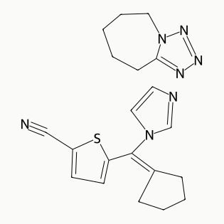 C1CCc2nnnn2CC1.N#Cc1ccc(C(=C2CCCC2)n2ccnc2)s1